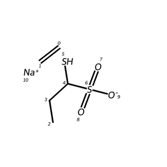 C=C.CCC(S)S(=O)(=O)[O-].[Na+]